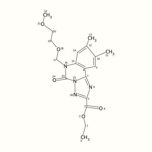 CCOC(=O)c1nc2c3cc(C)c(C)cc3n(COCCOC)c(=O)n2n1